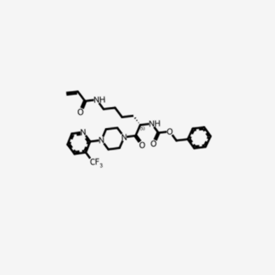 C=CC(=O)NCCCC[C@H](NC(=O)OCc1ccccc1)C(=O)N1CCN(c2ncccc2C(F)(F)F)CC1